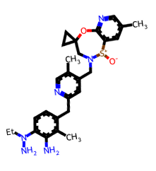 CCN(N)c1ccc(Cc2cc(CN3CC4(CC4)Oc4ncc(C)cc4[S+]3[O-])c(C)cn2)c(C)c1N